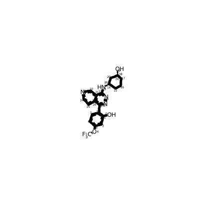 Oc1cc(OC(F)(F)F)ccc1-c1nnc(N[C@@H]2CCC[C@H](O)C2)c2cnccc12